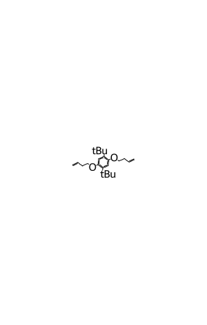 C=CCCOc1cc(C(C)(C)C)c(OCCC=C)cc1C(C)(C)C